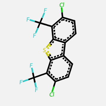 FC(F)(F)c1c(Cl)ccc2c1sc1c(C(F)(F)F)c(Cl)ccc12